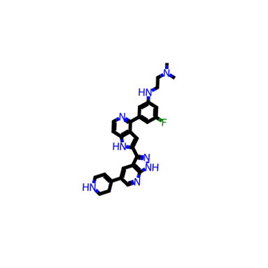 CN(C)CCNc1cc(F)cc(-c2nccc3[nH]c(-c4n[nH]c5ncc(C6=CCNCC6)cc45)cc23)c1